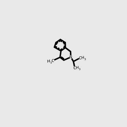 CC1=CN(C(C)C)Cc2ccccc21